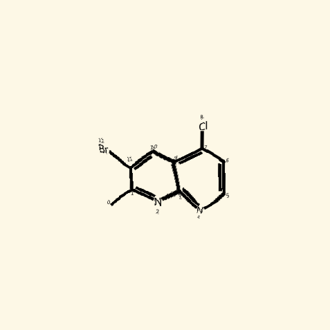 Cc1nc2nccc(Cl)c2cc1Br